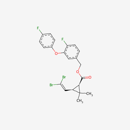 CC1(C)[C@H](C(=O)OCc2ccc(F)c(Oc3ccc(F)cc3)c2)[C@@H]1C=C(Br)Br